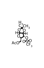 CC(=O)OC[C@H]1O[C@@H]2OC(C)(C)O[C@@H]2[C@@H]1OS(=O)(=O)C(F)(F)F